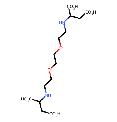 O=C(O)CC(NCCOCCOCCNC(CC(=O)O)C(=O)O)C(=O)O